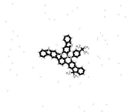 CC(C)(C)c1ccc(N2B3c4cc5oc6ccccc6c5cc4-n4c5cc6sc7ccccc7c6cc5c5ccc(c3c54)-c3cc4c(cc32)-c2ccccc2C4(C)C)cc1